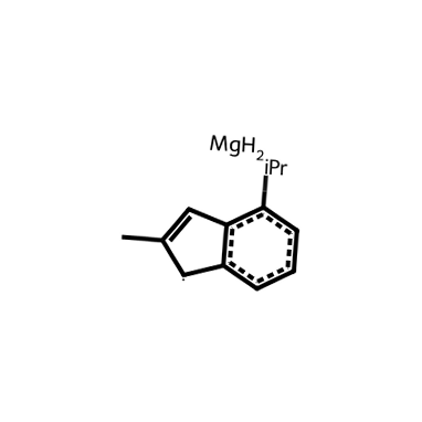 CC1=Cc2c(cccc2C(C)C)[CH]1.[MgH2]